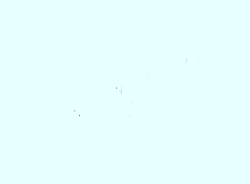 CCCCc1ccc2c(c1)CN(C1CCC(=O)NC1=O)C2=O